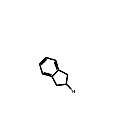 [2H]C1Cc2ccccc2C1